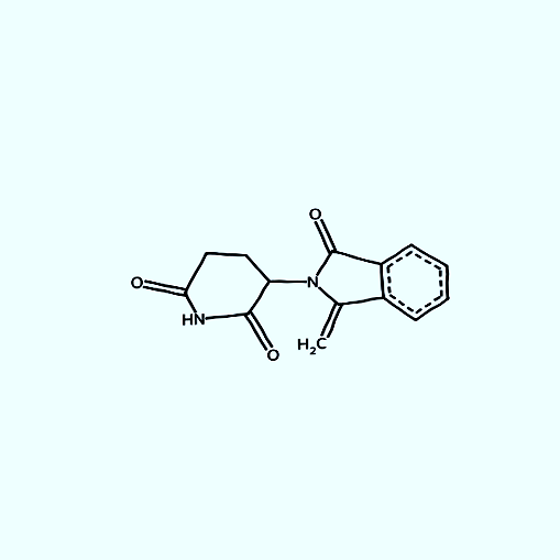 C=C1c2ccccc2C(=O)N1C1CCC(=O)NC1=O